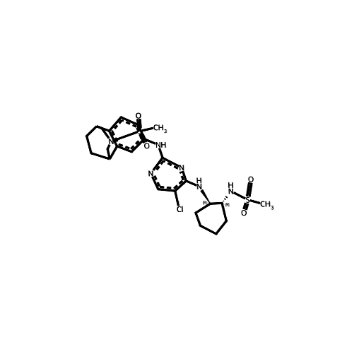 CS(=O)(=O)N[C@@H]1CCCC[C@H]1Nc1nc(Nc2ccc3c(c2)C2CCC3CN(S(C)(=O)=O)C2)ncc1Cl